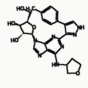 Cc1ccc(-c2c[nH]nc2-c2nc(NC3CCOC3)c3ncn([C@@H]4O[C@H](CO)[C@H](O)[C@H]4O)c3n2)cc1